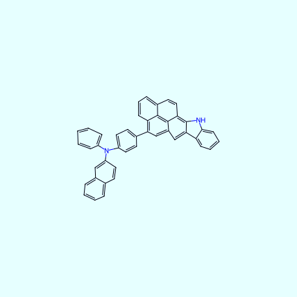 c1ccc(N(c2ccc(-c3cc4cc5c6ccccc6[nH]c5c5ccc6cccc3c6c45)cc2)c2ccc3ccccc3c2)cc1